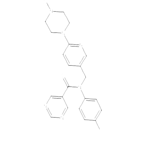 CN1CCN(c2ccc(CN(C(=O)c3cncnc3)c3ccc(F)cc3)cn2)CC1